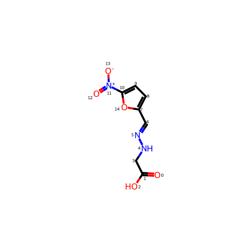 O=C(O)CN/N=C/c1ccc([N+](=O)[O-])o1